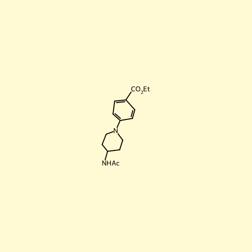 CCOC(=O)c1ccc(N2CCC(NC(C)=O)CC2)cc1